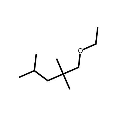 CCOCC(C)(C)CC(C)C